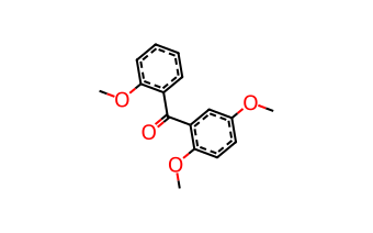 COc1ccc(OC)c(C(=O)c2ccccc2OC)c1